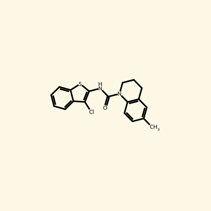 Cc1ccc2c(c1)CCCN2C(=O)Nc1sc2ccccc2c1Cl